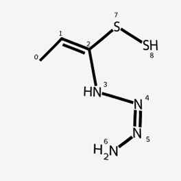 C/C=C(\N/N=N\N)SS